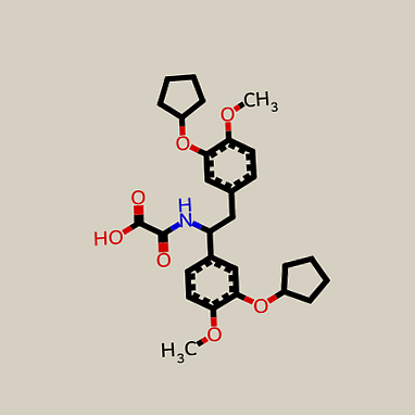 COc1ccc(CC(NC(=O)C(=O)O)c2ccc(OC)c(OC3CCCC3)c2)cc1OC1CCCC1